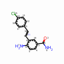 NC(=O)c1ccc(N)c(/C=C/c2ccc(Cl)cc2)c1